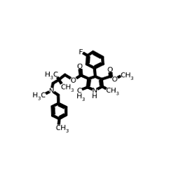 COC(=O)C1=C(C)NC(C)=C(C(=O)OCC(C)(C)CN(C)Cc2ccc(C)cc2)C1c1cccc(F)c1